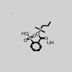 CCC[Si](C)(C)OC(=O)c1ccccc1S(=O)(=O)O.[LiH]